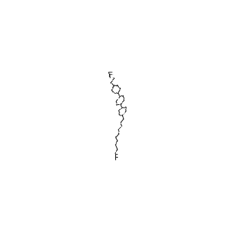 FCCCCCCCCCCC1CCC(C2CCC(C3CCC(CCF)CC3)CC2)CC1